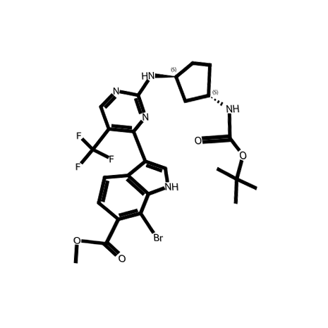 COC(=O)c1ccc2c(-c3nc(N[C@H]4CC[C@H](NC(=O)OC(C)(C)C)C4)ncc3C(F)(F)F)c[nH]c2c1Br